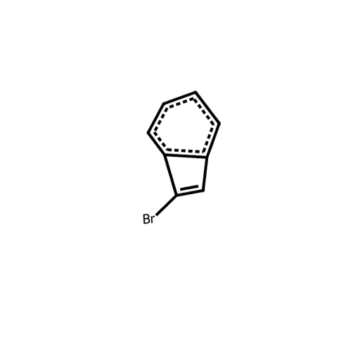 BrC1=Cc2ccccc21